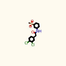 CS(=O)(=O)c1cccc(NC(=O)Cc2ccc(Cl)c(Cl)c2)c1